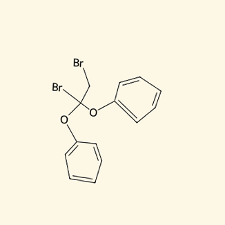 BrCC(Br)(Oc1ccccc1)Oc1ccccc1